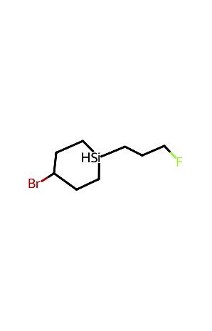 FCCC[SiH]1CCC(Br)CC1